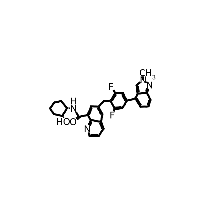 Cn1cc2c(-c3cc(F)c(Cc4cc(C(=O)N[C@H]5CCCC[C@@H]5O)c5ncccc5c4)c(F)c3)cccc2n1